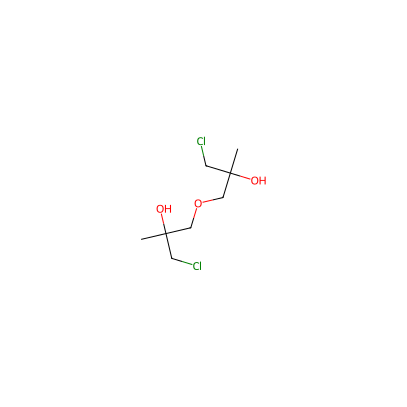 CC(O)(CCl)COCC(C)(O)CCl